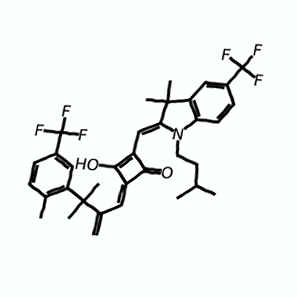 C=C(/C=C1/C(=O)C(/C=C2\N(CCC(C)C)c3ccc(C(F)(F)F)cc3C2(C)C)=C1O)C(C)(C)c1cc(C(F)(F)F)ccc1C